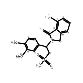 COc1ccc(C(CS(C)(=O)=O)N2Cc3cccc(C)c3C2=O)cc1OC